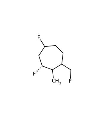 CC1C(CF)CCC(F)C[C@H]1F